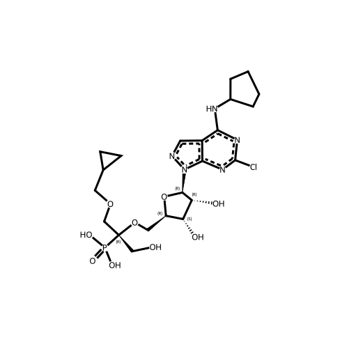 O=P(O)(O)[C@](CO)(COCC1CC1)OC[C@H]1O[C@@H](n2ncc3c(NC4CCCC4)nc(Cl)nc32)[C@H](O)[C@@H]1O